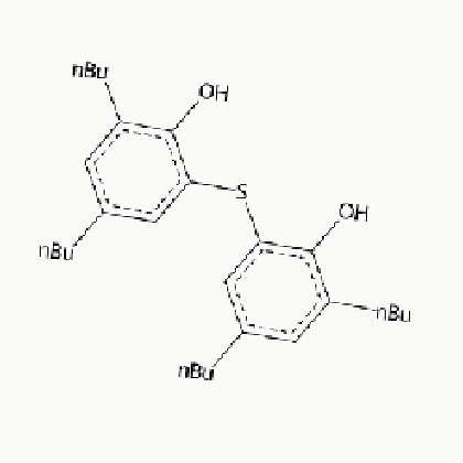 CCCCc1cc(CCCC)c(O)c(Sc2cc(CCCC)cc(CCCC)c2O)c1